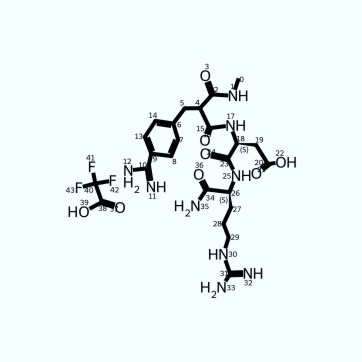 CNC(=O)C(Cc1ccc(C(=N)N)cc1)C(=O)N[C@@H](CC(=O)O)C(=O)N[C@@H](CCCNC(=N)N)C(N)=O.O=C(O)C(F)(F)F